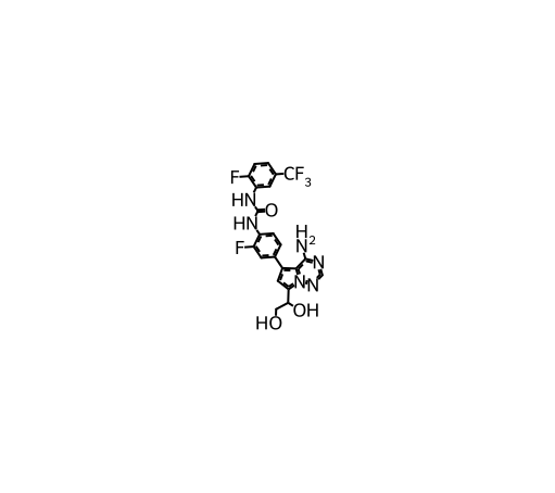 Nc1ncnn2c(C(O)CO)cc(-c3ccc(NC(=O)Nc4cc(C(F)(F)F)ccc4F)c(F)c3)c12